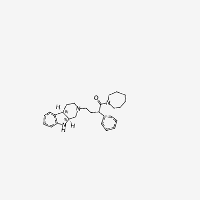 O=C(C(CCN1CC[C@@H]2c3ccccc3N[C@@H]2C1)c1ccccc1)N1CCCCCC1